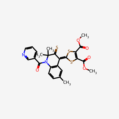 COC(=O)C1=C(C(=O)OC)SC(=C2C(=S)C(C)(C)N(C(=O)c3cccnc3)c3ccc(C)cc32)S1